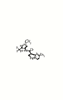 Cc1ccn2ncc(C(=O)Nc3cn(C)nc3C(F)(F)F)c2n1